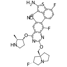 C[C@@H]1NCC[C@@H]1Oc1nc(OC[C@@]23CCCN2C[C@H](F)C3)nc2c(F)c(-c3ccc(F)c4sc(N)c(C#N)c34)c(Cl)cc12